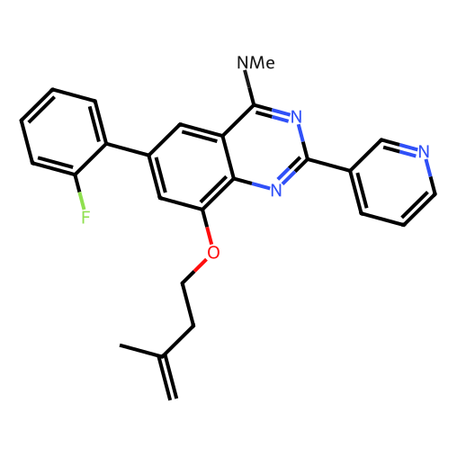 C=C(C)CCOc1cc(-c2ccccc2F)cc2c(NC)nc(-c3cccnc3)nc12